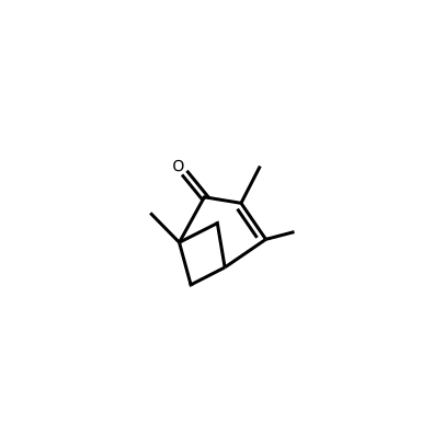 CC1=C(C)C2CC(C)(C2)C1=O